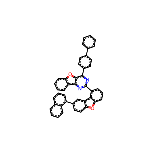 c1ccc(-c2ccc(-c3nc(-c4cccc5oc6ccc(-c7cccc8ccccc78)cc6c45)nc4c3oc3ccccc34)cc2)cc1